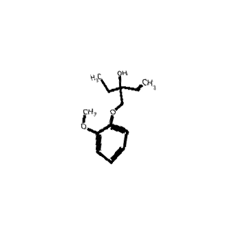 CCC(O)(CC)COc1ccccc1OC